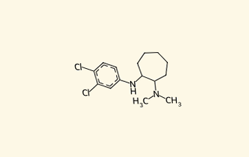 CN(C)C1CCCCCC1Nc1ccc(Cl)c(Cl)c1